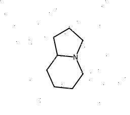 [CH]1CC2CCCCN2C1